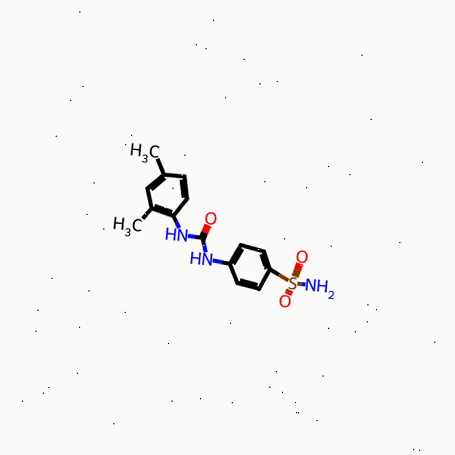 Cc1ccc(NC(=O)Nc2ccc(S(N)(=O)=O)cc2)c(C)c1